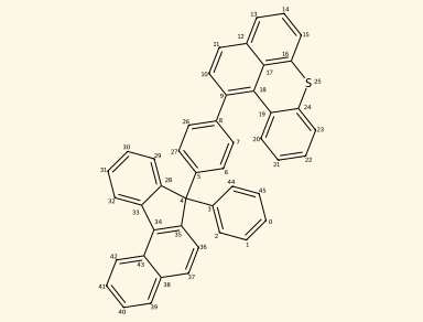 c1ccc(C2(c3ccc(-c4ccc5cccc6c5c4-c4ccccc4S6)cc3)c3ccccc3-c3c2ccc2ccccc32)cc1